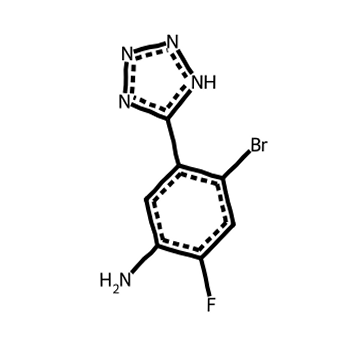 Nc1cc(-c2nnn[nH]2)c(Br)cc1F